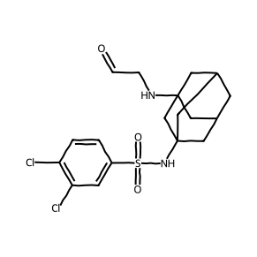 O=CCNC12CC3CC(C1)CC(NS(=O)(=O)c1ccc(Cl)c(Cl)c1)(C3)C2